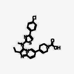 CCc1nc2ccc(C3=CCN(C(=O)O)CC3)cn2c1N(C)c1nc(-c2ccc(Cl)cc2)cs1